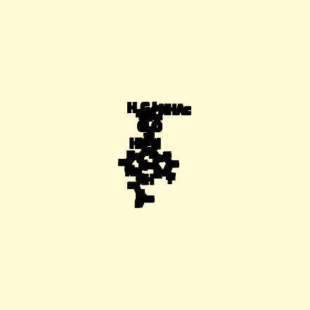 CC(=O)NCC1(C)COC(c2nc(-c3ccc(F)cc3)c(-c3ccnc(NCC4CC4)n3)[nH]2)OC1